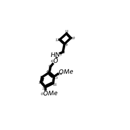 COc1ccc(CONCC2CCC2)c(OC)c1